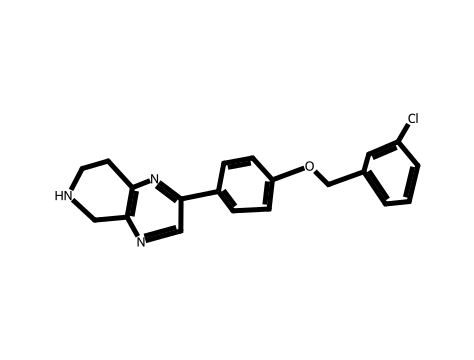 Clc1cccc(COc2ccc(-c3cnc4c(n3)CCNC4)cc2)c1